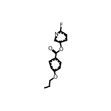 CCCOc1ccc(C(=O)Oc2ccc(F)nc2)cc1